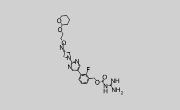 N=C(N)NC(=O)OCc1cccc(-c2cnc(N3CC(=NOCCOC4CCCCO4)C3)nc2)c1F